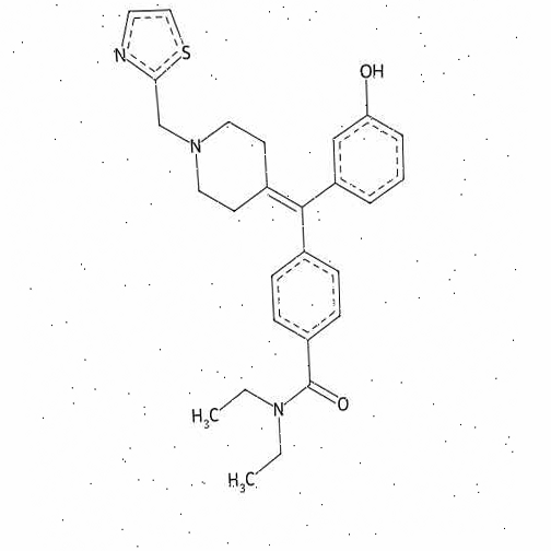 CCN(CC)C(=O)c1ccc(C(=C2CCN(Cc3nccs3)CC2)c2cccc(O)c2)cc1